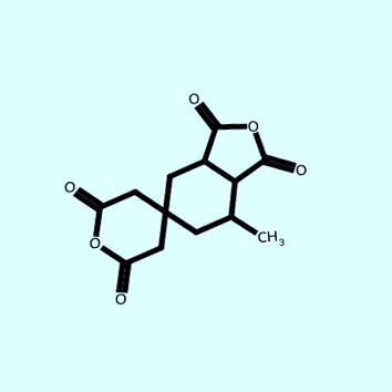 CC1CC2(CC(=O)OC(=O)C2)CC2C(=O)OC(=O)C12